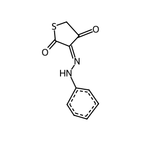 O=C1CSC(=O)C1=NNc1ccccc1